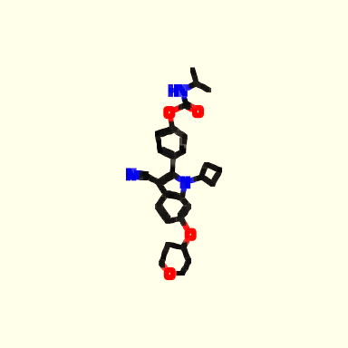 CC(C)NC(=O)Oc1ccc(-c2c(C#N)c3ccc(OC4CCOCC4)cc3n2C2CCC2)cc1